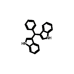 c1ccc(C(c2c[nH]c3ccccc23)c2c[nH]c3ccccc23)cc1